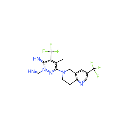 Cc1c(N2CCc3ncc(C(F)(F)F)cc3C2)nn(C=N)c(=N)c1C(F)(F)F